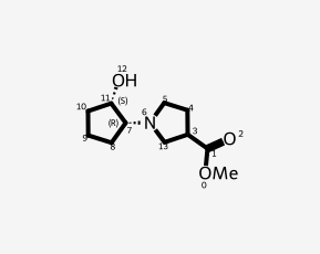 COC(=O)C1CCN([C@@H]2CCC[C@@H]2O)C1